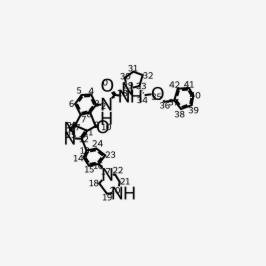 O=C(Nc1cccc2c1C(=O)C1=C(c3ccc(N4CCNCC4)cc3)N=NC12)NN1CCC[C@@H]1COCc1ccccc1